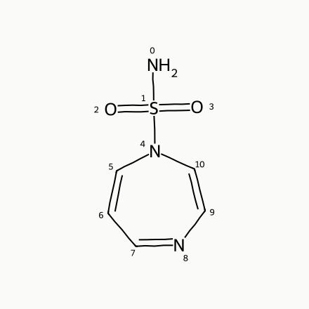 NS(=O)(=O)N1C=CC=NC=C1